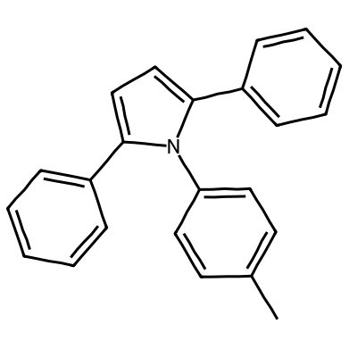 Cc1ccc(-n2c(-c3ccccc3)ccc2-c2ccccc2)cc1